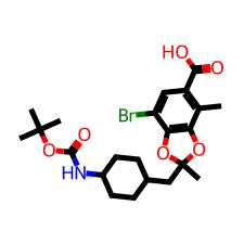 Cc1c(C(=O)O)cc(Br)c2c1OC(C)(CC1CCC(NC(=O)OC(C)(C)C)CC1)O2